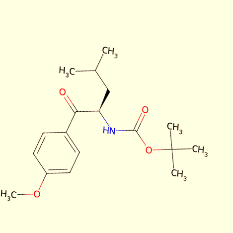 COc1ccc(C(=O)[C@@H](CC(C)C)NC(=O)OC(C)(C)C)cc1